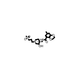 Cc1cc2c(c(C(=O)NC[C@@H]3CCN(CCCS(C)(=O)=O)C[C@H]3O)c1)OCCO2